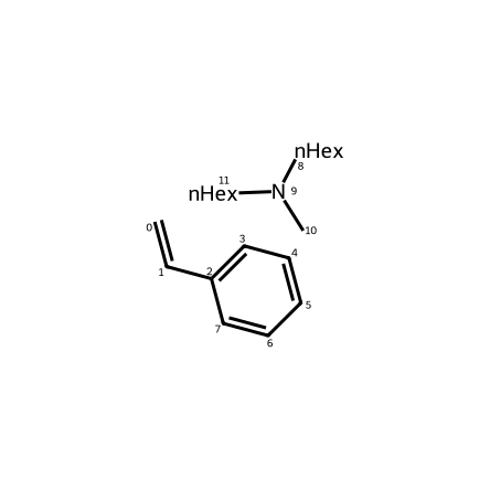 C=Cc1ccccc1.CCCCCCN(C)CCCCCC